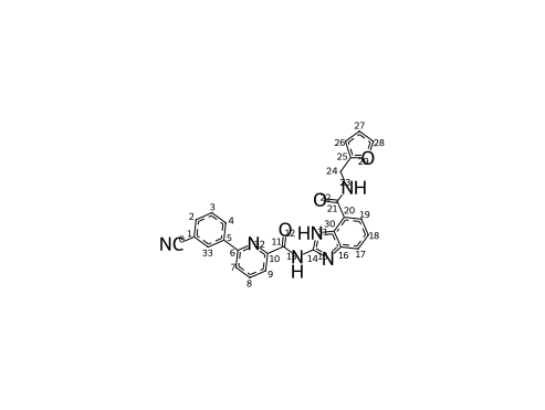 N#Cc1cccc(-c2cccc(C(=O)Nc3nc4cccc(C(=O)NCc5ccco5)c4[nH]3)n2)c1